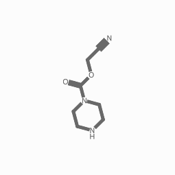 N#CCOC(=O)N1CCNCC1